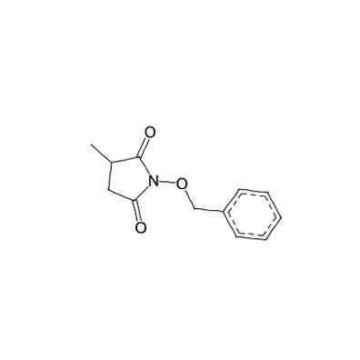 CC1CC(=O)N(OCc2ccccc2)C1=O